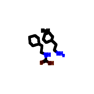 NCCC1CCCCC1.S=C(S)NCCC1CCCCC1.[NaH]